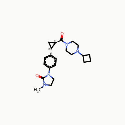 CN1CCN(c2ccc([C@@H]3C[C@H]3C(=O)N3CCN(C4CCC4)CC3)cc2)C1=O